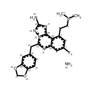 CN(C)CCc1cc(F)cc2nc(Cc3ccc4c(c3)OCO4)n3nc(N)nc3c12.N